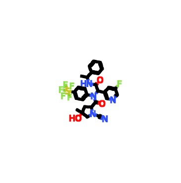 CC(NC(=O)C(c1cncc(F)c1)N(C(=O)C1CC(C)(O)CN1C#N)c1ccc(S(F)(F)(F)(F)F)cc1)c1ccccc1